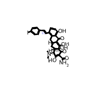 CN(C)[C@@H]1C(O)=C(C(N)=O)C(=O)[C@@]2(O)C(O)=C3C(=O)c4c(O)ccc(/C=C/c5ccc(I)cc5)c4C[C@H]3C[C@@H]12